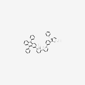 C1=CC(c2ccc3c(-c4ccccc4)c4ccccc4c(-c4ccccc4)c3c2)NC(C2=CC=CC(c3ccc4c(c3)c3c(n4-c4ccccc4)C=CNC3)N2)=C1